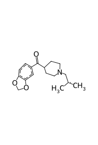 C[C](C)CN1CCC(C(=O)c2ccc3c(c2)OCO3)CC1